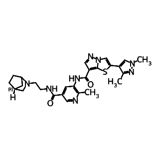 Cc1ncc(C(=O)NCCN2C[C@@H]3CCC2C3)cc1NC(=O)c1cnn2cc(-c3cn(C)nc3C)sc12